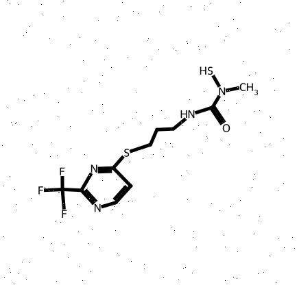 CN(S)C(=O)NCCCSc1ccnc(C(F)(F)F)n1